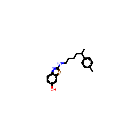 Cc1ccc(C(C)CCCCNc2nc3ccc(O)cc3s2)cc1